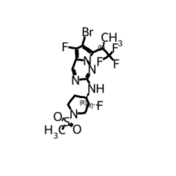 C[C@H](c1c(Br)c(F)c2cnc(N[C@@H]3CCN(S(C)(=O)=O)C[C@H]3F)nn12)C(F)(F)F